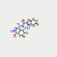 C[C@H](c1n[nH]c(=O)c2cc(F)c(F)cc12)N(C)C(=O)c1cc2ccc(F)cc2[nH]1